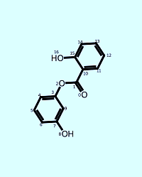 O=C(Oc1cccc(O)c1)c1ccccc1O